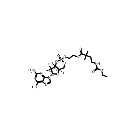 CCOC(=O)NCCC(C)(C)C(=O)SCCOP1(=O)OC[C@H]2O[C@@H](n3cnc4c(O)nc(N)nc43)[C@](C)(F)[C@@H]2O1